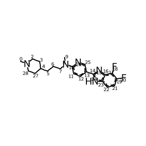 CN1CCC(CCCN(C)c2ccc(-c3nc4c(F)c(F)ccc4[nH]3)cn2)CC1